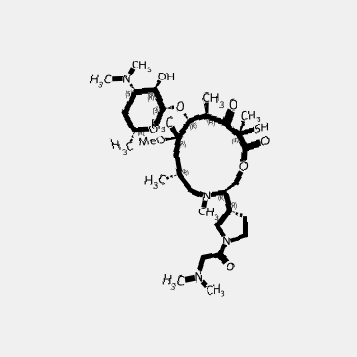 CO[C@]1(C)C[C@@H](C)CN(C)[C@H]([C@@H]2CCN(C(=O)CN(C)C)C2)COC(=O)[C@@](C)(S)C(=O)[C@H](C)[C@H]1O[C@@H]1O[C@H](C)C[C@H](N(C)C)[C@H]1O